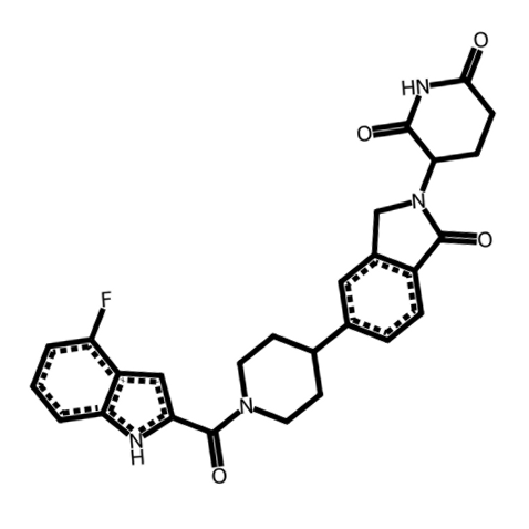 O=C1CCC(N2Cc3cc(C4CCN(C(=O)c5cc6c(F)cccc6[nH]5)CC4)ccc3C2=O)C(=O)N1